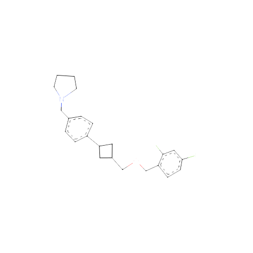 Fc1ccc(COCC2CC(c3ccc(CN4CCCC4)cc3)C2)c(F)c1